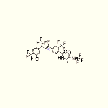 CC(NC(=O)c1ccc(/C(F)=C/C(c2ccc(C(F)(F)F)c(Cl)c2)C(F)(F)F)cc1C(F)(F)F)C(=O)NCC(F)(F)F